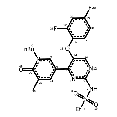 CCCCn1cc(-c2nc(NS(=O)(=O)CC)ncc2Oc2ccc(F)cc2F)cc(C)c1=O